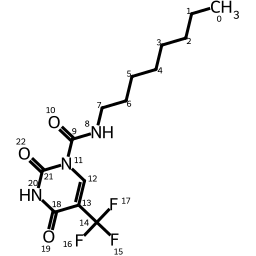 CCCCCCCCNC(=O)n1cc(C(F)(F)F)c(=O)[nH]c1=O